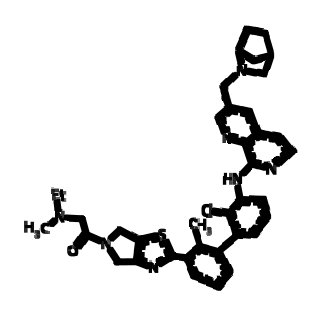 CCN(C)CC(=O)N1Cc2nc(-c3cccc(-c4cccc(Nc5nccc6cc(CN7CC8CCC7C8)cnc56)c4Cl)c3C)sc2C1